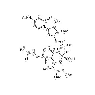 CC(=O)Nc1ccn([C@@H]2O[C@H](COP(=O)(O)O[C@@]3(C(=O)O)CC(OC(C)=O)[C@@H](NC(=O)CNC(=O)C(F)(F)F)C([C@H](OC(C)=O)[C@@H](COC(C)=O)OC(C)=O)O3)C(OC(C)=O)C2OC(C)=O)c(=O)n1